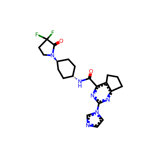 O=C(N[C@H]1CC[C@H](N2CCC(F)(F)C2=O)CC1)c1nc(-n2ccnc2)nc2c1CCC2